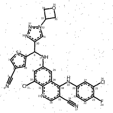 N#Cc1csc(C(Nc2cc(Cl)c3ncc(C#N)c(Nc4ccc(F)c(Cl)c4)c3c2)c2cn(C3COC3)nn2)c1